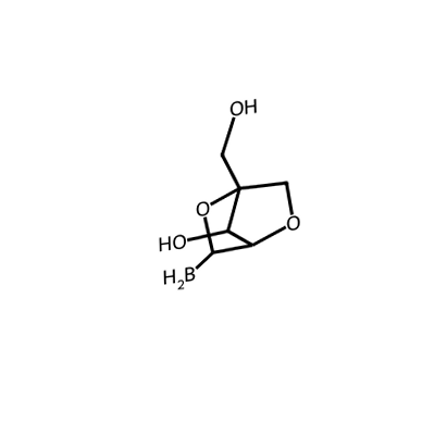 BC1OC2(CO)COC1C2O